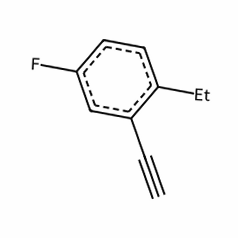 C#Cc1cc(F)ccc1CC